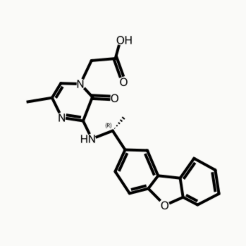 Cc1cn(CC(=O)O)c(=O)c(N[C@H](C)c2ccc3oc4ccccc4c3c2)n1